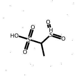 CC([SH](=O)=O)S(=O)(=O)O